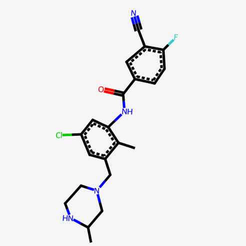 Cc1c(CN2CCNC(C)C2)cc(Cl)cc1NC(=O)c1ccc(F)c(C#N)c1